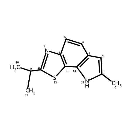 Cc1cc2ccc3nc(C(C)C)sc3c2[nH]1